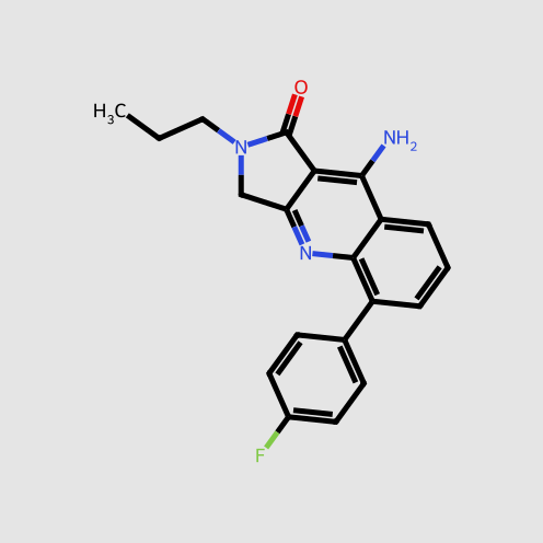 CCCN1Cc2nc3c(-c4ccc(F)cc4)cccc3c(N)c2C1=O